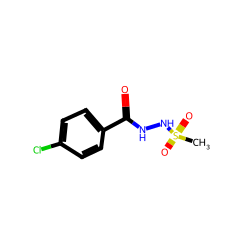 CS(=O)(=O)NNC(=O)c1ccc(Cl)cc1